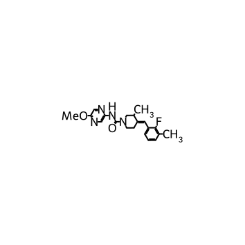 COc1cnc(NC(=O)N2CC/C(=C\c3cccc(C)c3F)C(C)C2)cn1